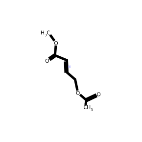 COC(=O)/C=C/COC(C)=O